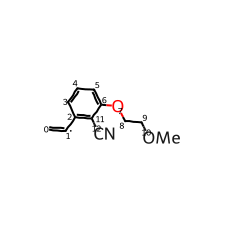 C=[C]c1cccc(OCCOC)c1C#N